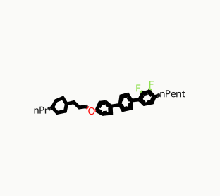 CCCCCc1ccc(-c2ccc(-c3ccc(OCCCC4CCC(CCC)CC4)cc3)cc2)c(F)c1F